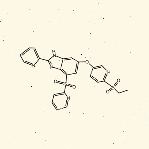 CCS(=O)(=O)c1ccc(Oc2cc(S(=O)(=O)c3ccccn3)c3nc(-c4ccccn4)[nH]c3c2)cn1